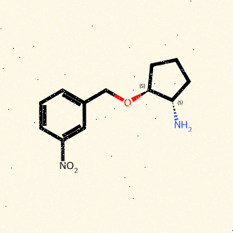 N[C@H]1CCC[C@@H]1OCc1cccc([N+](=O)[O-])c1